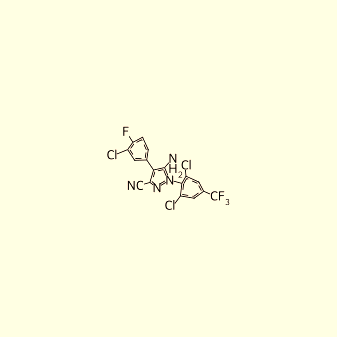 N#Cc1nn(-c2c(Cl)cc(C(F)(F)F)cc2Cl)c(N)c1-c1ccc(F)c(Cl)c1